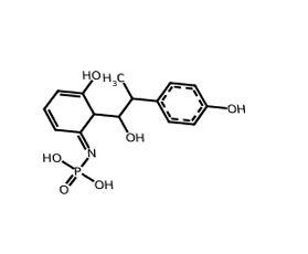 CC(c1ccc(O)cc1)C(O)C1C(O)=CC=C/C1=N\P(=O)(O)O